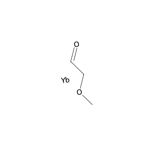 COCC=O.[Yb]